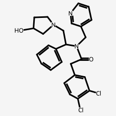 O=C(Cc1ccc(Cl)c(Cl)c1)N(Cc1cccnc1)C(CN1CCC(O)C1)c1ccccc1